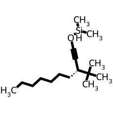 CCCCCCC[C@H](C#CO[SiH](C)C)C(C)(C)C